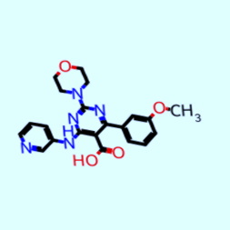 COc1cccc(-c2nc(N3CCOCC3)nc(Nc3cccnc3)c2C(=O)O)c1